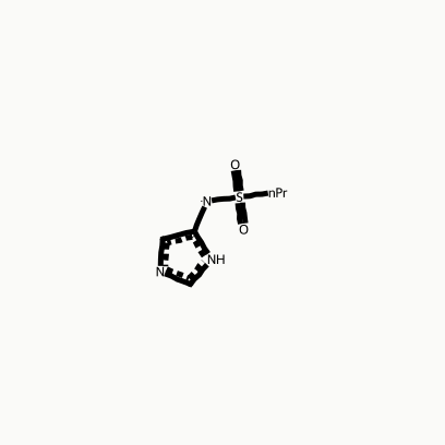 CCCS(=O)(=O)[N]c1cnc[nH]1